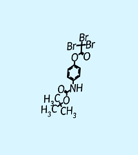 CC(C)(C)OC(=O)Nc1ccc(OC(=O)C(Br)(Br)Br)cc1